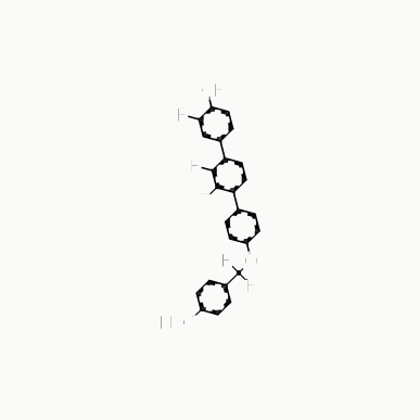 Cc1ccc(C(F)(F)Oc2ccc(-c3ccc(-c4ccc(C(F)(F)F)c(F)c4)c(F)c3F)cc2)cc1